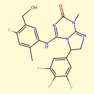 Cc1cc(F)c(CO)cc1NC1=NC(=O)N(C)C2=NCC(c3cc(F)c(F)c(F)c3)N12